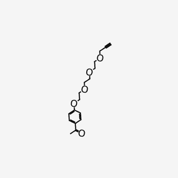 C#CCOCCOCCOCCOc1ccc(C(C)=O)cc1